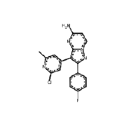 Cc1cc(-c2c(-c3ccc(F)cc3)nn3ccc(N)nc23)cc(Cl)n1